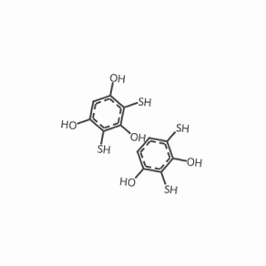 Oc1cc(O)c(S)c(O)c1S.Oc1ccc(S)c(O)c1S